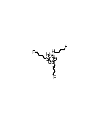 FCCCC[SiH]1O[SiH](CCCCF)O[SiH](CCCCF)O1